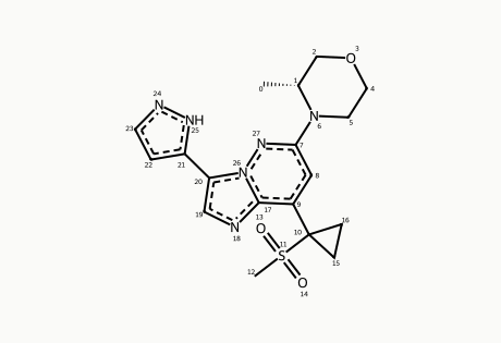 C[C@@H]1COCCN1c1cc(C2(S(C)(=O)=O)CC2)c2ncc(-c3ccn[nH]3)n2n1